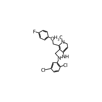 CN1CC=C2NN(c3cc(Cl)ccc3Cl)CC2=C1COc1ccc(F)cc1